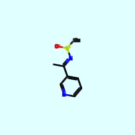 C/C(=N\[S+]([O-])C(C)(C)C)c1cccnc1